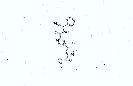 Cc1cnc(NC2CC[C@H]2F)cc1-n1cnc(C(=O)NC(C#N)c2ccccc2)c1